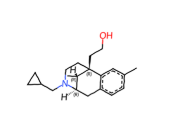 Cc1ccc2c(c1)[C@@]1(CCO)CCN(CC3CC3)[C@H](C2)[C@@H]1C